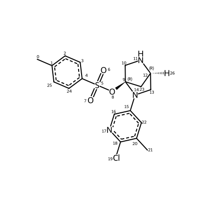 Cc1ccc(S(=O)(=O)O[C@]23CN[C@@H](CN2c2cnc(Cl)c(C)c2)C3)cc1